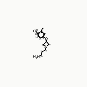 Cc1cc(OC2CN(CCCN)C2)ccc1Cl